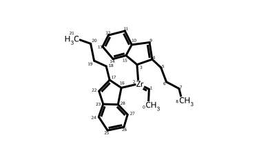 C[CH]=[Zr]([CH]1C(CCCC)=Cc2ccccc21)[CH]1C(CCCC)=Cc2ccccc21